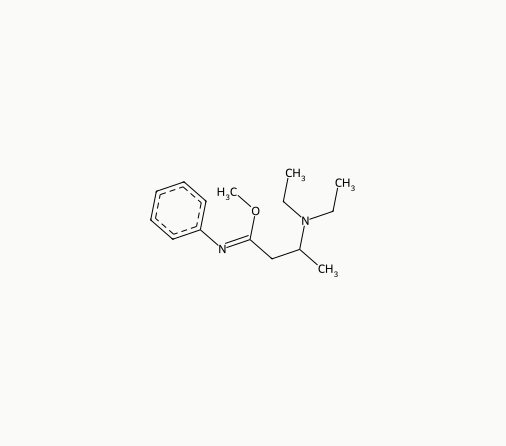 CCN(CC)C(C)C/C(=N/c1ccccc1)OC